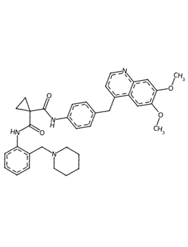 COc1cc2nccc(Cc3ccc(NC(=O)C4(C(=O)Nc5ccccc5CN5CCCCC5)CC4)cc3)c2cc1OC